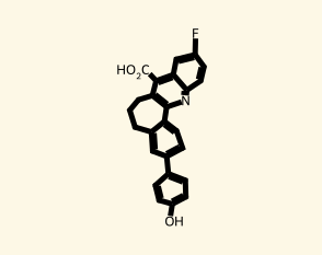 O=C(O)c1c2c(nc3ccc(F)cc13)-c1ccc(-c3ccc(O)cc3)cc1CCC2